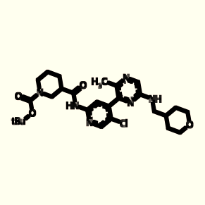 Cc1ncc(NCC2CCOCC2)nc1-c1cc(NC(=O)C2CCCN(C(=O)OC(C)(C)C)C2)ncc1Cl